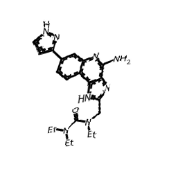 CCN(CC)C(=O)N(CC)Cc1nc2c(N)nc3cc(-c4cc[nH]n4)ccc3c2[nH]1